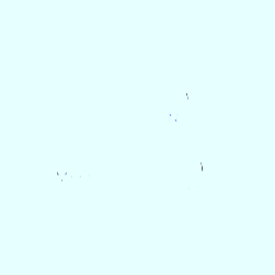 COc1ccc(CN2C[C@H](CO)OC[C@@H]2C(C)C)cc1